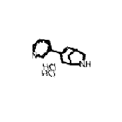 C1=C(c2cccnc2)CC2CC1CN2.Cl.Cl